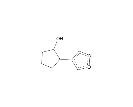 OC1CCCC1c1[c]noc1